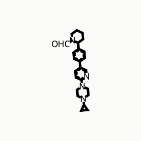 O=CN1CCCCC1c1ccc(-c2ccc(N3CCN(C4CC4)CC3)nc2)cc1